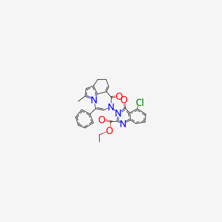 CCOC(=O)c1nc2cccc(Cl)c2c(=O)n1N1C=C(c2ccccc2)n2c(C)cc3c2C(=CCC3)C1=O